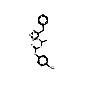 CC(OC(=O)Oc1ccc([N+](=O)[O-])cc1)n1nnnc1Cc1ccccc1